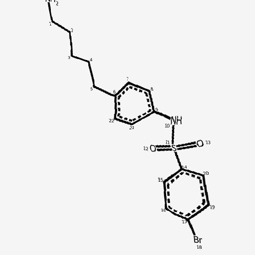 NCCCCCc1ccc(NS(=O)(=O)c2ccc(Br)cc2)cc1